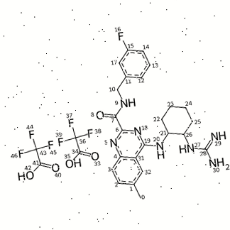 Cc1ccc2nc(C(=O)NCc3cccc(F)c3)nc(NC3CCCCC3NC(=N)N)c2c1.O=C(O)C(F)(F)F.O=C(O)C(F)(F)F